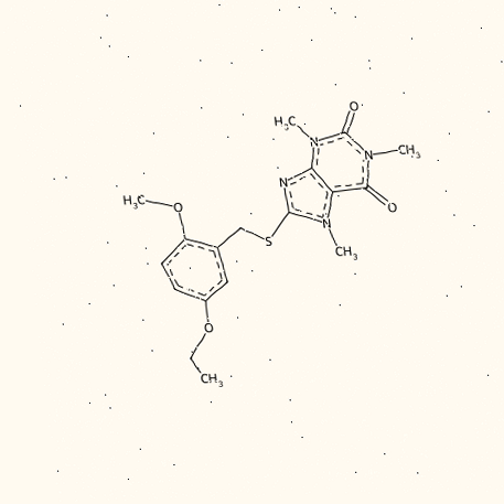 CCOc1ccc(OC)c(CSc2nc3c(c(=O)n(C)c(=O)n3C)n2C)c1